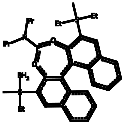 BS(C)(CC)c1cc2ccccc2c2c1op(N(C(C)C)C(C)C)oc1c(S(C)(CC)CC)cc3ccccc3c12